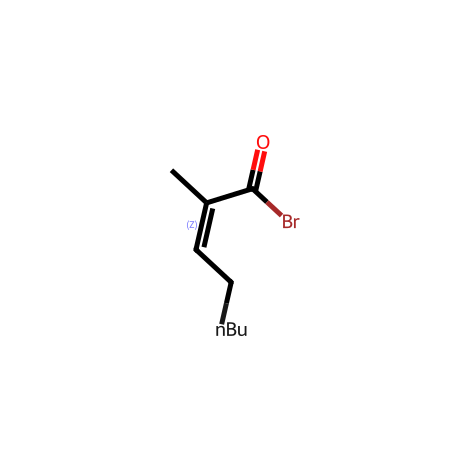 CCCCC/C=C(/C)C(=O)Br